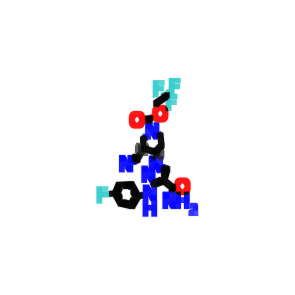 N#C[C@H]1CN(C(=O)OCC(F)(F)F)CC[C@H]1n1cc(C(N)=O)c(Nc2ccc(F)cc2)n1